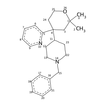 CC1(C)CC(c2ccccn2)(C2CCN(Cc3ccccc3)CC2)CCO1